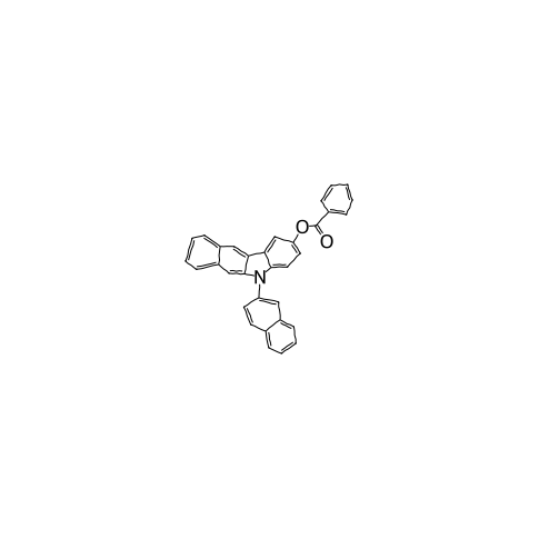 O=C(Oc1ccc2c(c1)c1cc3ccccc3cc1n2-c1ccc2ccccc2c1)c1ccccc1